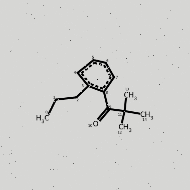 CCCc1ccccc1C(=O)C(C)(C)C